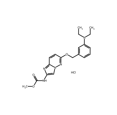 CCN(CC)c1cccc(COc2ccc3nc(NC(=O)OC)cn3n2)c1.Cl